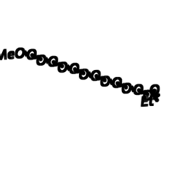 CCC(C)(C)C(=O)OCCOCCOCCOCCOCCOCCOCCOCCOCCOCCOCCOCCOC